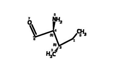 CC[C@H](C)[C@H](N)[C]=O